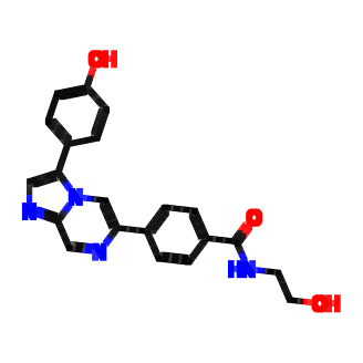 O=C(NCCO)c1ccc(-c2cn3c(-c4ccc(O)cc4)cnc3cn2)cc1